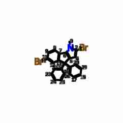 Cn1c(Br)cc2c1-c1ccc(Br)cc1C2(c1ccccc1)c1ccccc1